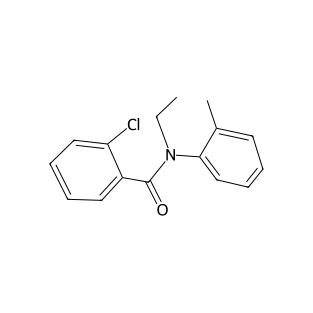 CCN(C(=O)c1ccccc1Cl)c1ccccc1C